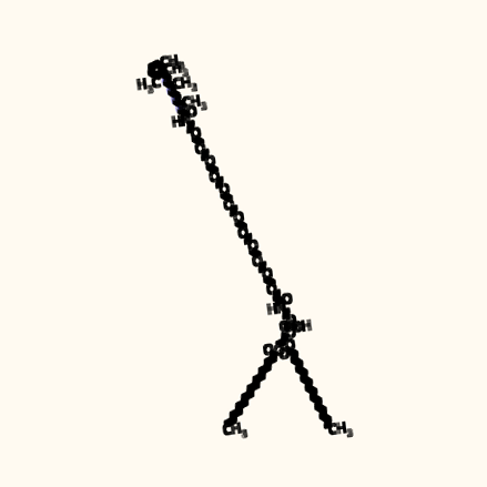 CCCCCCCCCCCCCCCCCC(=O)OCC(COP(=O)(O)OCCNC(=O)CCOCCOCCOCCOCCOCCOCCOCCOCCOCCOCCOCCOCCNC(=O)/C=C(C)/C=C/C=C(C)/C=C/C1=C(C)CCCC1(C)C)OC(=O)CCCCCCCCCCCCCCCCC